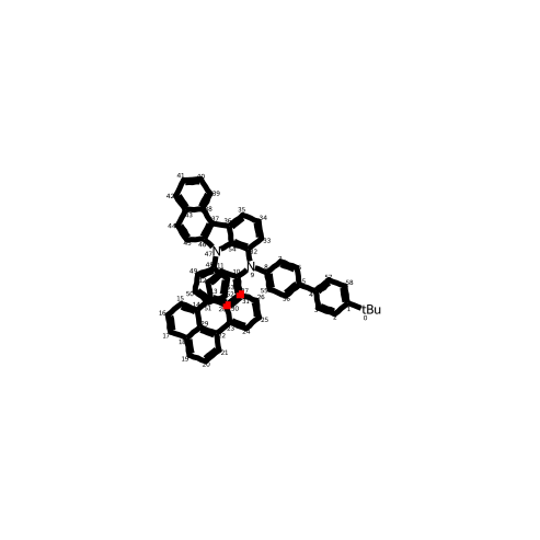 CC(C)(C)c1ccc(-c2ccc(N(c3ccc(-c4cccc5cccc(-c6ccccc6)c45)cc3)c3cccc4c5c6ccccc6ccc5n(-c5ccccc5)c34)cc2)cc1